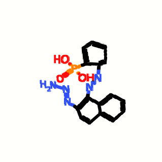 NN=Nc1ccc2ccccc2c1N=Nc1ccccc1P(=O)(O)O